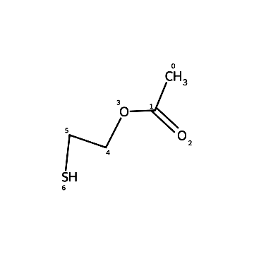 CC(=O)OCCS